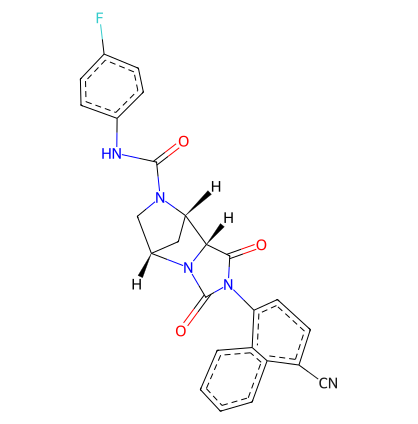 N#Cc1ccc(N2C(=O)[C@H]3[C@@H]4C[C@@H](CN4C(=O)Nc4ccc(F)cc4)N3C2=O)c2ccccc12